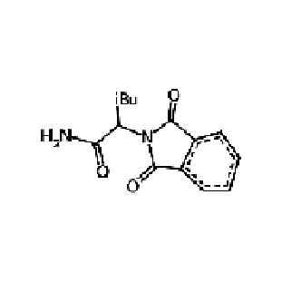 CCC(C)C(C(N)=O)N1C(=O)c2ccccc2C1=O